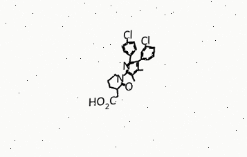 Cc1c(N2CCCC(CC(=O)O)C2=O)nc(-c2ccc(Cl)cc2)c(-c2cccc(Cl)c2)c1C